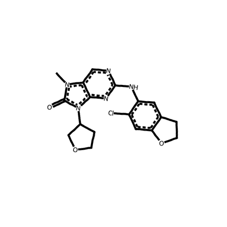 Cn1c(=O)n(C2CCOC2)c2nc(Nc3cc4c(cc3Cl)OCC4)ncc21